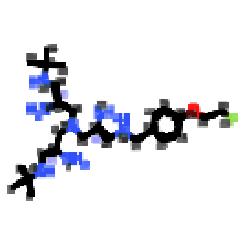 CC(C)(C)N/C=C(\N)CN(C/C(N)=C/NCc1ccc(OCCF)cc1)C/C(N)=C/NC(C)(C)C